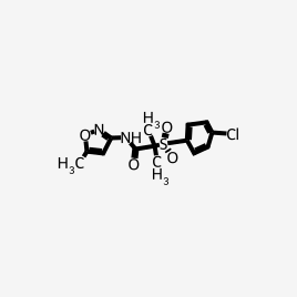 Cc1cc(NC(=O)C(C)(C)S(=O)(=O)c2ccc(Cl)cc2)no1